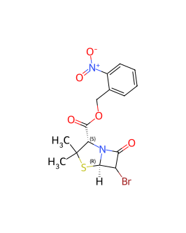 CC1(C)S[C@@H]2C(Br)C(=O)N2[C@H]1C(=O)OCc1ccccc1[N+](=O)[O-]